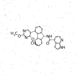 COc1ncc(-c2cccc3c2-c2ccccc2C3NC(=O)c2ccnc3[nH]ccc23)c(OC)n1